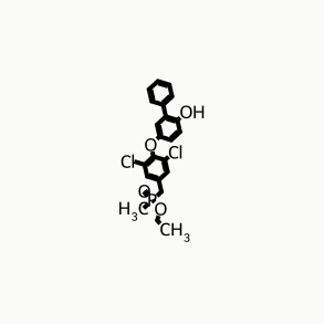 CCOP(C)(=O)Cc1cc(Cl)c(Oc2ccc(O)c(-c3ccccc3)c2)c(Cl)c1